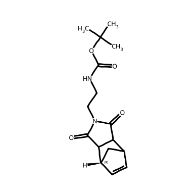 CC(C)(C)OC(=O)NCCN1C(=O)C2C3C=C[C@@H](C3)C2C1=O